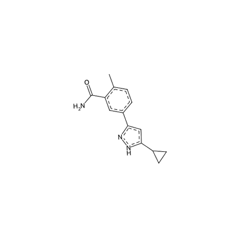 Cc1ccc(-c2cc(C3CC3)[nH]n2)cc1C(N)=O